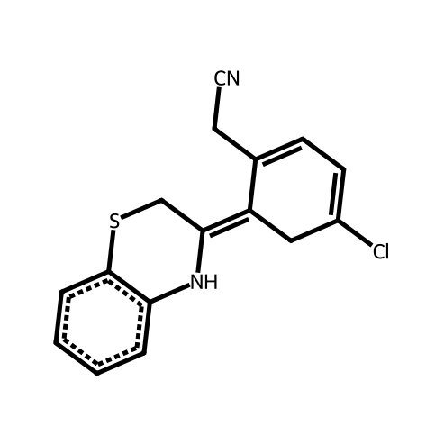 N#CCC1=CC=C(Cl)CC1=C1CSc2ccccc2N1